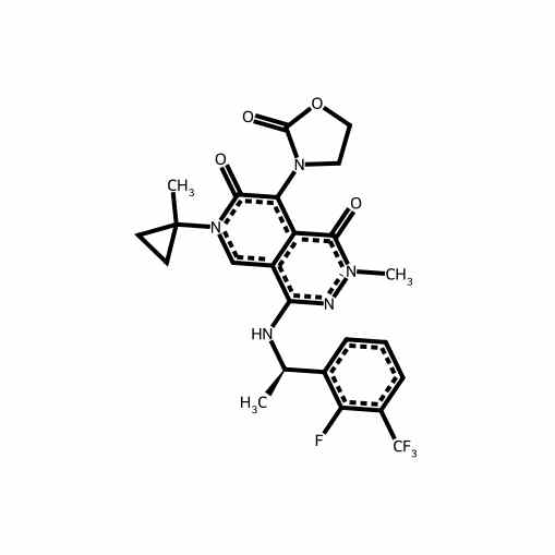 C[C@@H](Nc1nn(C)c(=O)c2c(N3CCOC3=O)c(=O)n(C3(C)CC3)cc12)c1cccc(C(F)(F)F)c1F